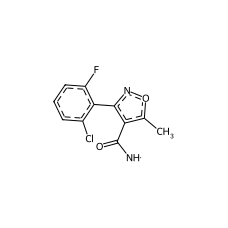 Cc1onc(-c2c(F)cccc2Cl)c1C([NH])=O